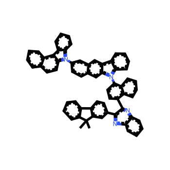 CC1(C)c2ccccc2-c2ccc(-c3nc4ccccc4nc3-c3ccc(-n4c5ccccc5c5cc6cc(-n7c8ccccc8c8c9ccccc9ccc87)ccc6cc54)c4ccccc34)cc21